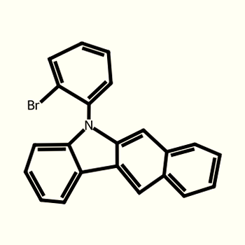 Brc1ccccc1-n1c2ccccc2c2cc3ccccc3cc21